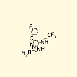 BC1=CNC2C(NCCC(F)(F)F)=CC(Oc3cccc(F)c3)=NN12